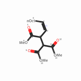 CCCCCCCC/C=C\C(C(=O)OC)C(C(=O)OC)C(=O)OC